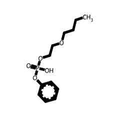 CCCCOCCOP(=O)(O)Oc1ccccc1